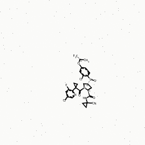 C[C@H](Oc1ccc([S+]([O-])[C@@H]2C[C@@H](C(=O)NC3(C#N)CC3)N(C(=O)C3(c4ncc(Cl)cc4F)CC3)C2)c(Cl)c1)C(F)(F)F